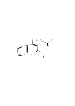 COC(=O)/C(NC(C)=O)=C(/C)c1ccccc1